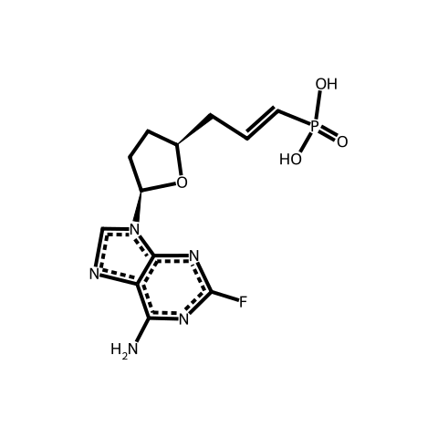 Nc1nc(F)nc2c1ncn2[C@H]1CC[C@@H](C/C=C/P(=O)(O)O)O1